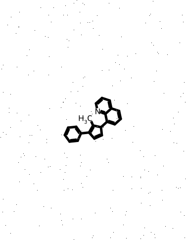 CC1=C(c2ccccc2)C=C[C]1c1cccc2cccnc12